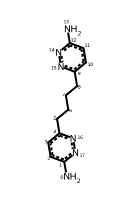 Nc1ccc(CCCCc2ccc(N)nn2)nn1